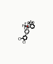 CS(=O)(=O)C1(OCC(F)(F)F)C=CC=CC1C(=O)N1CCN(c2ccc(Cl)c(Cl)c2)CC1